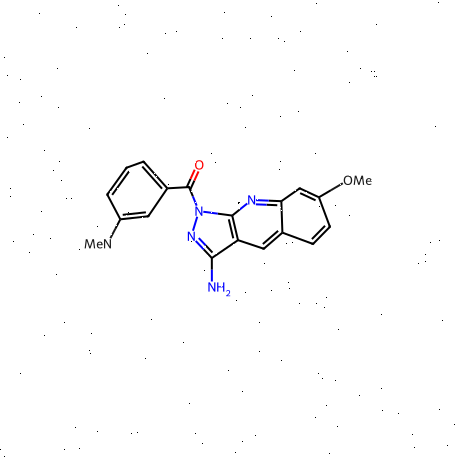 CNc1cccc(C(=O)n2nc(N)c3cc4ccc(OC)cc4nc32)c1